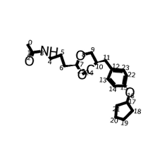 CC(=O)NCCC[C@H]1OC[C@@H](Cc2ccc(OC3CCCC3)cc2)CO1